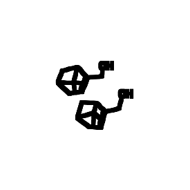 CC1(C)C2CC=C(CO)C1C2.CC1(C)C2CC=C(CO)C1C2